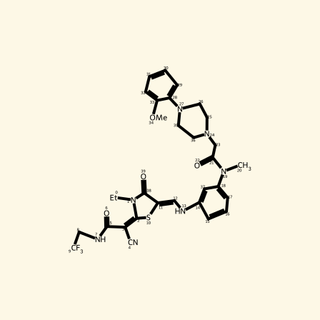 CCn1c(=C(C#N)C(=O)NCC(F)(F)F)sc(=CNc2cccc(N(C)C(=O)CN3CCN(c4ccccc4OC)CC3)c2)c1=O